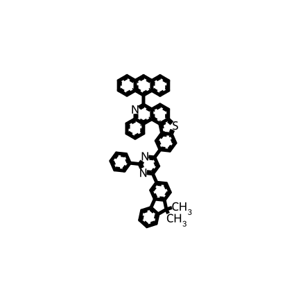 CC1(C)c2ccccc2-c2cc(-c3cc(-c4ccc5sc6ccc7c(-c8c9ccccc9cc9ccccc89)nc8ccccc8c7c6c5c4)nc(-c4ccccc4)n3)ccc21